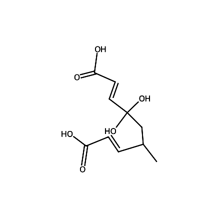 CC(C=CC(=O)O)CC(O)(O)C=CC(=O)O